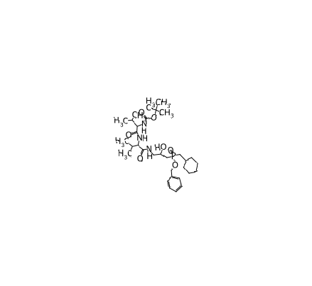 CC(C)C(NC(=O)OC(C)(C)C)C(=O)NC(C(=O)NCC(O)CP(=O)(CC1CCCCC1)OCc1ccccc1)C(C)C